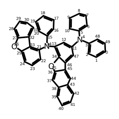 c1ccc(N(c2ccccc2)c2cc(N(c3ccccc3)c3cccc4oc5ccccc5c34)c3oc4cc5ccccc5cc4c3c2)cc1